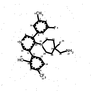 Cc1cc(F)cc(-c2cncc(-c3ccc(C(F)(F)F)cc3O)c2N2CCC(F)(CN)CC2)c1